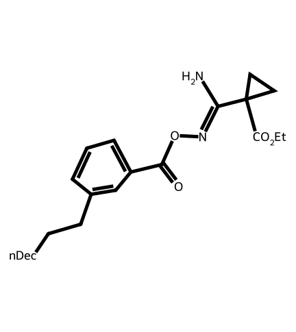 CCCCCCCCCCCCc1cccc(C(=O)O/N=C(\N)C2(C(=O)OCC)CC2)c1